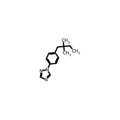 CCC(C)(C)Cc1ccc(-n2cncn2)cc1